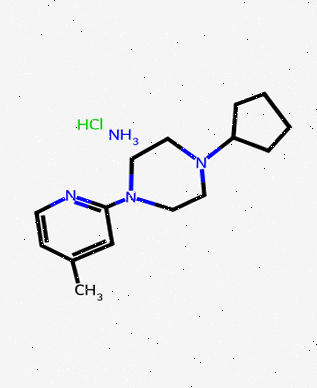 Cc1ccnc(N2CCN(C3CCCC3)CC2)c1.Cl.N